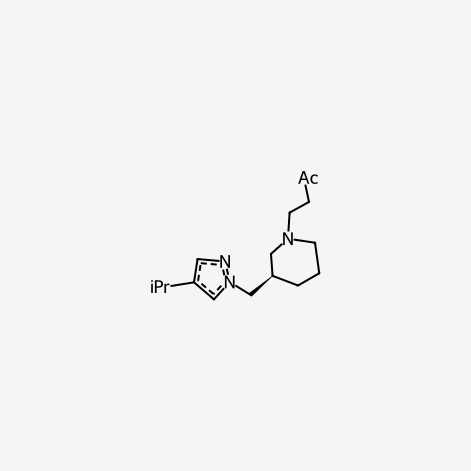 CC(=O)CCN1CCC[C@@H](Cn2cc(C(C)C)cn2)C1